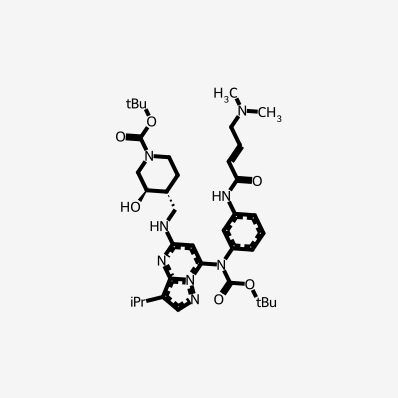 CC(C)c1cnn2c(N(C(=O)OC(C)(C)C)c3cccc(NC(=O)/C=C/CN(C)C)c3)cc(NC[C@H]3CCN(C(=O)OC(C)(C)C)C[C@@H]3O)nc12